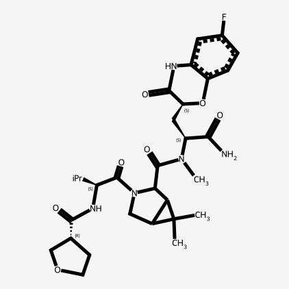 CC(C)[C@H](NC(=O)[C@@H]1CCOC1)C(=O)N1CC2C(C1C(=O)N(C)[C@@H](C[C@@H]1Oc3ccc(F)cc3NC1=O)C(N)=O)C2(C)C